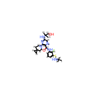 CC(C)(C)NSc1cccc(NC(=O)c2ncc(NC(C)(C)CO)nc2N2CCC3(CC2)CC3)c1F